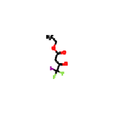 CCOC(=O)CC(=O)C(F)(F)I